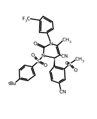 CC1=C(C#N)[C@@H](c2ccc(C#N)cc2S(C)(=O)=O)N(S(=O)(=O)c2ccc(C(C)(C)C)cc2)C(=O)N1c1cccc(C(F)(F)F)c1